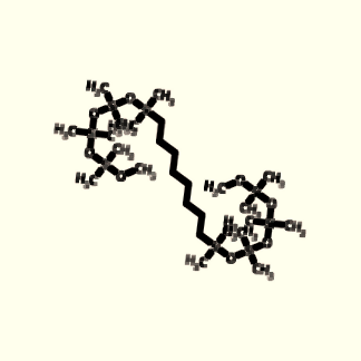 CO[Si](C)(C)O[Si](C)(C)O[Si](C)(C)O[Si](C)(C)CCCCCCCC[Si](C)(C)O[Si](C)(C)O[Si](C)(C)O[Si](C)(C)OC